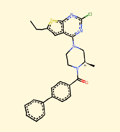 CCc1cc2c(N3CCN(C(=O)c4ccc(-c5ccccc5)cc4)[C@H](C)C3)nc(Cl)nc2s1